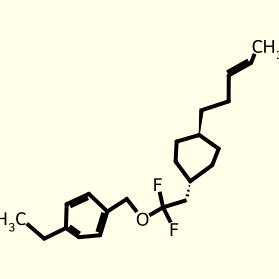 C/C=C/CC[C@H]1CC[C@H](CC(F)(F)OCc2ccc(CC)cc2)CC1